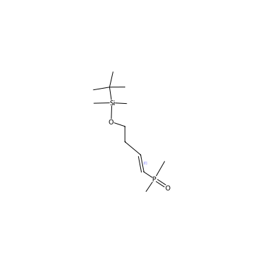 CC(C)(C)[Si](C)(C)OCC/C=C/P(C)(C)=O